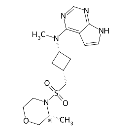 C[C@@H]1COCCN1S(=O)(=O)C[C@H]1C[C@@H](N(C)c2ncnc3[nH]ccc23)C1